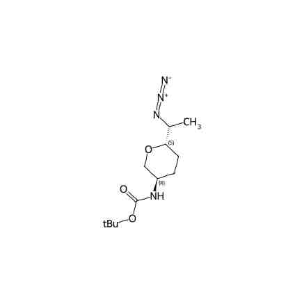 CC(N=[N+]=[N-])[C@@H]1CC[C@@H](NC(=O)OC(C)(C)C)CO1